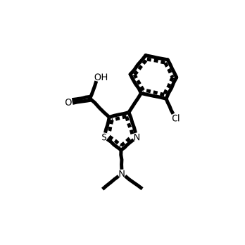 CN(C)c1nc(-c2ccccc2Cl)c(C(=O)O)s1